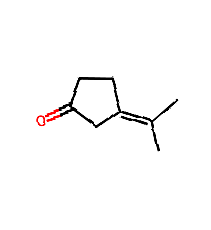 CC(C)=C1CCC(=O)C1